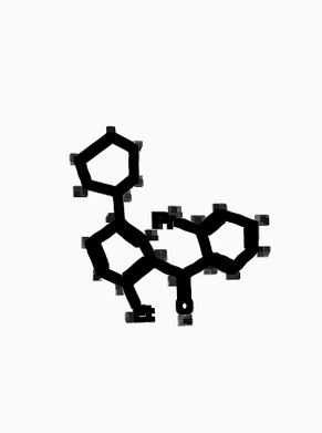 CCc1ccc(C2CCCCC2)cc1C(=O)c1ccccc1C(C)C